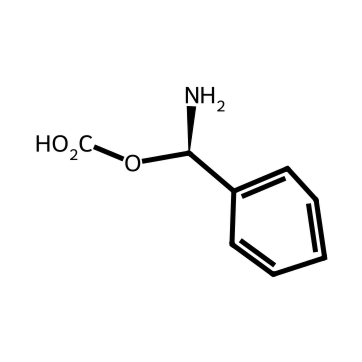 N[C@H](OC(=O)O)c1ccccc1